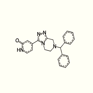 O=c1cc(-c2nnc3n2CCN(C(c2ccccc2)c2ccccc2)C3)cc[nH]1